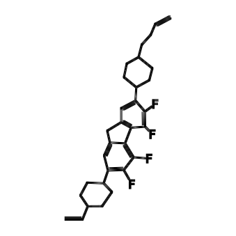 C=CCCC1CCC(c2cc3c(c(F)c2F)-c2c(cc(C4CCC(C=C)CC4)c(F)c2F)C3)CC1